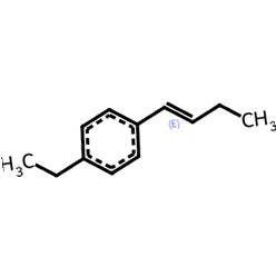 CC/C=C/c1ccc(CC)cc1